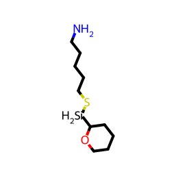 NCCCCCS[SiH2]C1CCCCO1